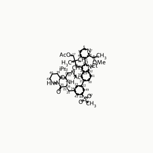 CCn1c(-c2cccnc2[C@H](C)OC)c(CC(C)(C)COC(C)=O)c2cc(-c3cc(C[C@H](NC(=O)[C@H](C(C)C)N(C)C(C)=O)C(=O)N4CCCCN4)cc(S(C)(=O)=O)c3)ccc21